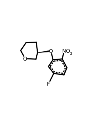 O=[N+]([O-])c1ccc(F)cc1O[C@@H]1CCCOC1